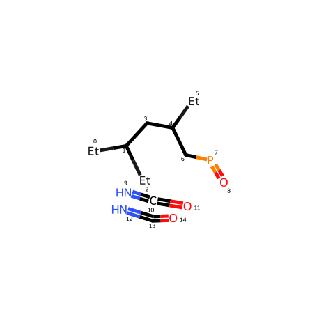 CCC(CC)CC(CC)CP=O.N=C=O.N=C=O